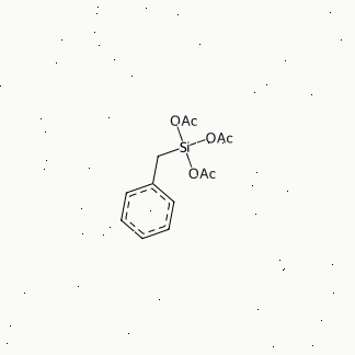 CC(=O)O[Si](Cc1ccccc1)(OC(C)=O)OC(C)=O